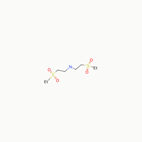 CCS(=O)(=O)CC[N]CCS(=O)(=O)CC